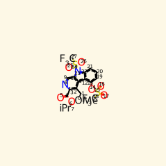 COCc1c(C(=O)OC(C)C)ncc2c1c1c(OS(=O)(=O)C(F)(F)F)cccc1n2S(=O)(=O)C(F)(F)F